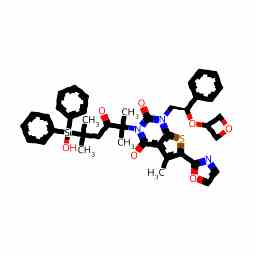 Cc1c(-c2ncco2)sc2c1c(=O)n(C(C)(C)C(=O)CC(C)(C)[Si](O)(c1ccccc1)c1ccccc1)c(=O)n2C[C@H](OC1COC1)c1ccccc1